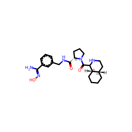 NC(=NO)c1cccc(CNC(=O)[C@@H]2CCCN2C(=O)C2NCC[C@@H]3CCCC[C@H]23)c1